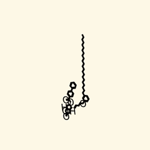 CCCCCCCCCCCCCCCCCCCCCCCc1cccc(OCC/C=C/[C@@H]2[C@H]3CC(=O)O[C@H]3C[C@H]2OC(=O)c2ccc(-c3ccccc3)cc2)c1